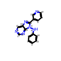 c1ccc(Nn2c(-c3cccnc3)nc3cncnc32)cc1